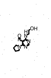 O=Nc1c(NCCO)ncnc1N1CCCC1